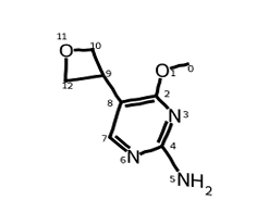 COc1nc(N)ncc1C1COC1